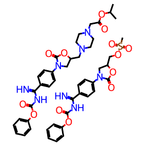 CC(C)OC(=O)CN1CCN(CC2CN(c3ccc(C(=N)NC(=O)Oc4ccccc4)cc3)C(=O)O2)CC1.CS(=O)(=O)OCC1CN(c2ccc(C(=N)NC(=O)Oc3ccccc3)cc2)C(=O)O1